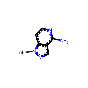 CCCn1ncc2c(N)nccc21